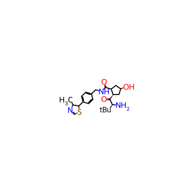 CC1N=CSC1c1ccc(CNC(=O)C2CC(O)C[C@H]2C(=O)[C@@H](N)C(C)(C)C)cc1